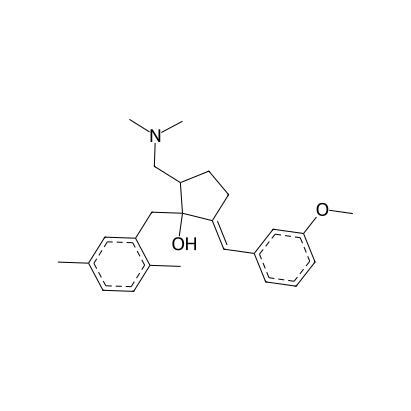 COc1cccc(/C=C2\CCC(CN(C)C)C2(O)Cc2cc(C)ccc2C)c1